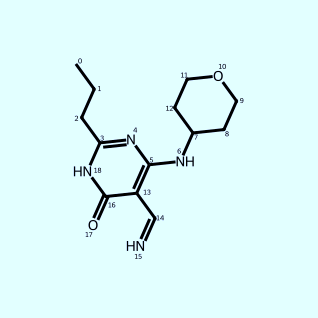 CCCc1nc(NC2CCOCC2)c(C=N)c(=O)[nH]1